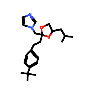 CC(C)CC1COC(CCc2ccc(C(C)(C)C)cc2)(Cn2ccnc2)O1